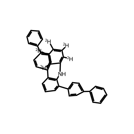 [2H]c1c([2H])c([2H])c(Nc2c(-c3ccc(-c4ccccc4)cc3)cccc2-c2ccc(-c3ccccc3)cc2)c([2H])c1[2H]